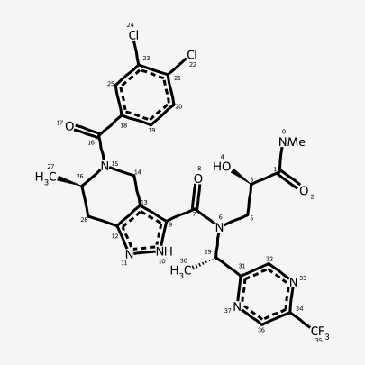 CNC(=O)[C@H](O)CN(C(=O)c1[nH]nc2c1CN(C(=O)c1ccc(Cl)c(Cl)c1)[C@H](C)C2)[C@@H](C)c1cnc(C(F)(F)F)cn1